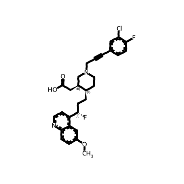 COc1ccc2nccc([C@@H](F)CC[C@@H]3CCN(CC#Cc4ccc(F)c(Cl)c4)C[C@@H]3CC(=O)O)c2c1